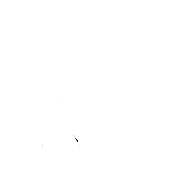 CCCCOC[C@H]1SC[C@@H](F)[C@@H]1C